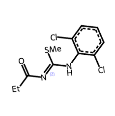 CCC(=O)/N=C(/Nc1c(Cl)cccc1Cl)SC